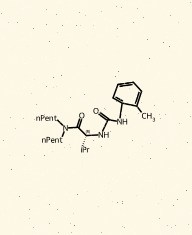 CCCCCN(CCCCC)C(=O)[C@H](NC(=O)Nc1ccccc1C)C(C)C